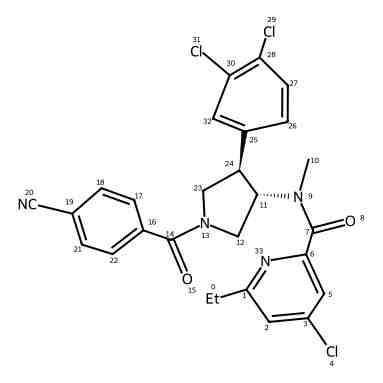 CCc1cc(Cl)cc(C(=O)N(C)[C@@H]2CN(C(=O)c3ccc(C#N)cc3)C[C@H]2c2ccc(Cl)c(Cl)c2)n1